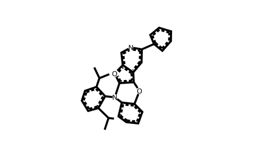 CC(C)c1cccc(C(C)C)c1N1c2ccccc2Oc2c1oc1cnc(-c3ccccc3)cc21